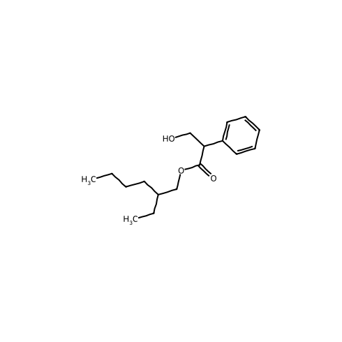 CCCCC(CC)COC(=O)C(CO)c1ccccc1